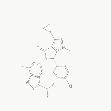 Cc1cc(N2C(=O)c3c(C4CC4)nn(C)c3[C@@H]2c2ccc(Cl)cc2)cn2c(C(F)F)nnc12